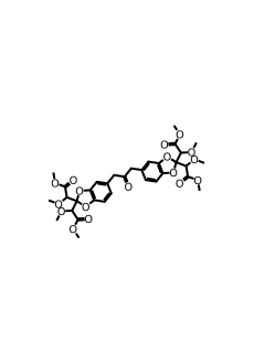 COC(=O)C(OC)C1(C(OC)C(=O)OC)Oc2ccc(CC(=O)Cc3ccc4c(c3)OC(C(OC)C(=O)OC)(C(OC)C(=O)OC)O4)cc2O1